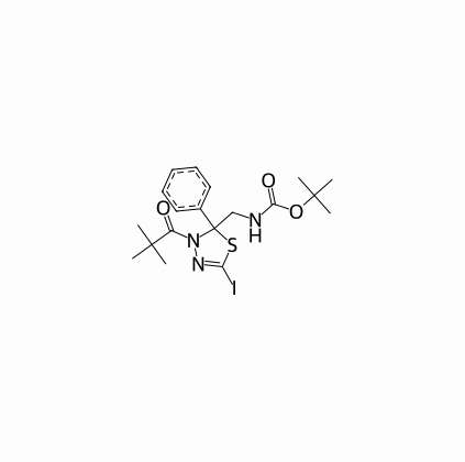 CC(C)(C)OC(=O)NCC1(c2ccccc2)SC(I)=NN1C(=O)C(C)(C)C